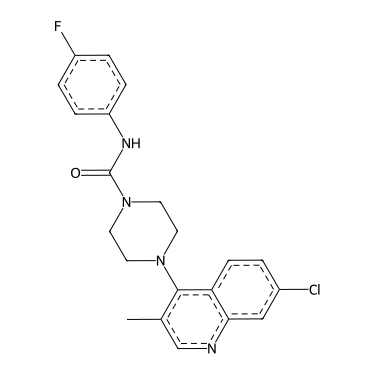 Cc1cnc2cc(Cl)ccc2c1N1CCN(C(=O)Nc2ccc(F)cc2)CC1